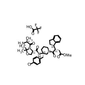 COC(=O)C[C@H](C(=O)N1CCC[C@](Cc2ccc(Cl)cc2)(NC(=O)[C@@H]2COC(C)(C)N2C(=O)[C@H](C)N)C1)[C@H]1CCc2ccccc21.O=C(O)C(F)(F)F